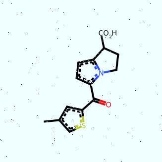 Cc1csc(C(=O)c2ccc3n2CCC3C(=O)O)c1